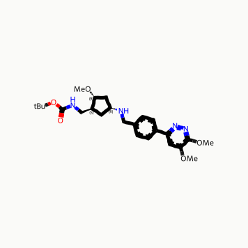 COc1cc(-c2ccc(CN[C@@H]3C[C@@H](CNC(=O)OC(C)(C)C)[C@H](OC)C3)cc2)nnc1OC